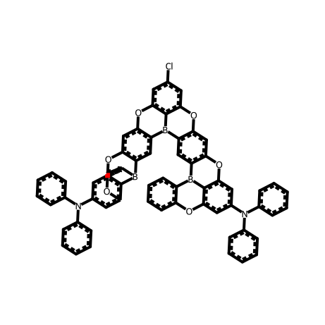 Clc1cc2c3c(c1)Oc1cc4c(cc1B3c1cc3c(cc1O2)Oc1cc(N(c2ccccc2)c2ccccc2)cc2c1B3c1ccccc1O2)B1c2ccccc2Oc2cc(N(c3ccccc3)c3ccccc3)cc(c21)O4